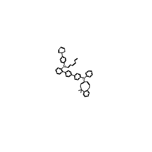 C=C/C=C\C=C\N(c1ccc(C2C=CC=CC2)cc1)c1ccccc1-c1ccc(-c2ccc(N(C3=C/CC(C)(C)c4ccccc4C/C=C\3)c3ccccc3)cc2)cc1